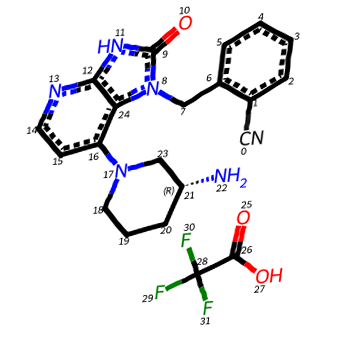 N#Cc1ccccc1Cn1c(=O)[nH]c2nccc(N3CCC[C@@H](N)C3)c21.O=C(O)C(F)(F)F